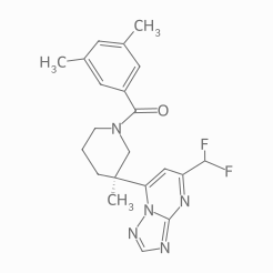 Cc1cc(C)cc(C(=O)N2CCC[C@](C)(c3cc(C(F)F)nc4ncnn34)C2)c1